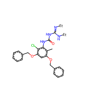 CCN=C(NCC)NC(=O)Nc1c(C)c(OCc2ccccc2)cc(OCc2ccccc2)c1Cl